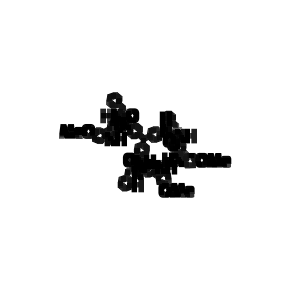 COc1ccc2[nH]c(C)c(CC(=O)N[C@@H](Cc3ccccc3)C(=O)Nc3ccc(C(c4ccc(NC(=O)[C@H](Cc5ccccc5)NC(=O)Cc5c(C)[nH]c6ccc(OC)cc56)cc4)c4ccc(NC(=O)[C@H](Cc5ccccc5)NC(=O)Cc5c(C)[nH]c6ccc(OC)cc56)cc4)cc3)c2c1